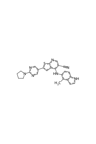 Cc1c(Nc2c(C#N)cnc3sc(-c4cnc(N5CCCC5)nc4)cc23)ccc2[nH]ccc12